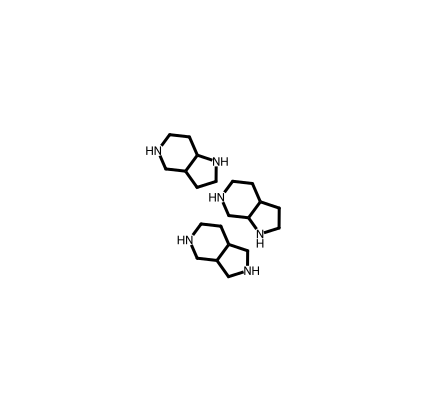 C1CC2CCNC2CN1.C1CC2CNCC2CN1.C1CC2NCCC2CN1